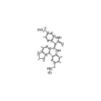 CCNCc1ccc(N/C(=C2\C(=O)Nc3cc(C(=O)OCC)ccc32)c2ccc3c(c2)OCO3)cc1